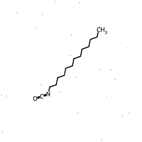 CCCCCCCCCCCCCN=C=O